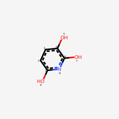 Oc1ccc(O)c(O)n1